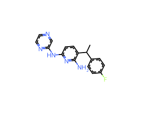 CC(c1ccc(F)cc1)c1ccc(Nc2cnccn2)nc1N